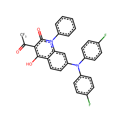 O=C(c1c(O)c2ccc(N(c3ccc(F)cc3)c3ccc(F)cc3)cc2n(-c2ccccc2)c1=O)C(F)(F)F